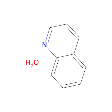 O.c1ccc2ncccc2c1